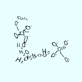 O.O.O.O.O.O.[Cu+2].[O-][Cl+3]([O-])([O-])[O-].[O-][Cl+3]([O-])([O-])[O-]